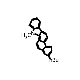 CCCCc1ccc2c(ccc3c2ccc2c4ccccc4n(C)c32)c1